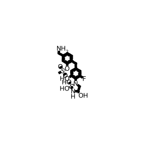 CS(=O)(=O)Oc1cc(CN)ccc1Cc1cc(O)c(N2CC(O)NS2(O)O)c(F)c1